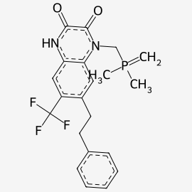 C=P(C)(C)Cn1c(=O)c(=O)[nH]c2cc(C(F)(F)F)c(CCc3ccccc3)cc21